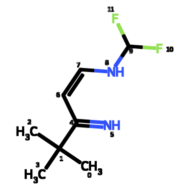 CC(C)(C)C(=N)/C=C\NC(F)F